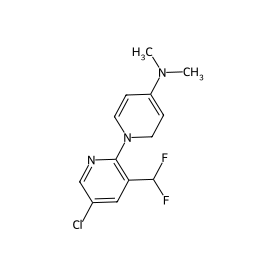 CN(C)C1=CCN(c2ncc(Cl)cc2C(F)F)C=C1